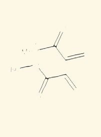 C=CC(=O)OC.[CH2]CC(C)OC(=O)C=C